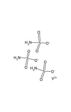 NS(=O)(=O)[O-].NS(=O)(=O)[O-].NS(=O)(=O)[O-].[V+3]